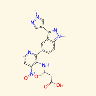 CC(CC(=O)O)Nc1c([N+](=O)[O-])ccnc1-c1ccc2c(c1)c(-c1cnn(C)c1)nn2C